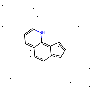 c1c[nH]c2c(c1)ccc1cccc12